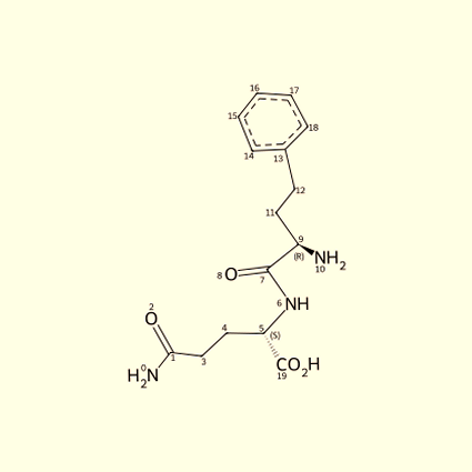 NC(=O)CC[C@H](NC(=O)[C@H](N)CCc1ccccc1)C(=O)O